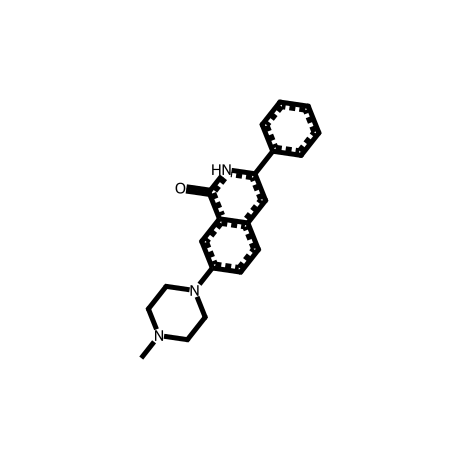 CN1CCN(c2ccc3cc(-c4ccccc4)[nH]c(=O)c3c2)CC1